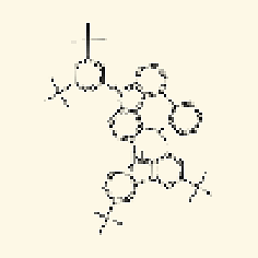 CC(C)c1c(-n2c3ccc(C(C)(C)C)cc3c3cc(C(C)(C)C)ccc32)ccc2c1c1c(-c3ccccc3)cccc1n2-c1cc(C(C)(C)C)cc(C(C)(C)C)c1